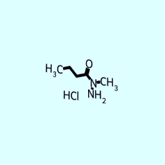 CCCC(=O)N(C)N.Cl